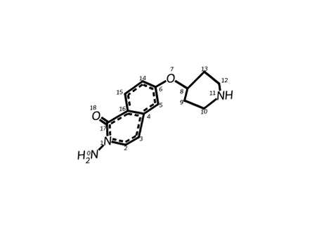 Nn1ccc2cc(OC3CCNCC3)ccc2c1=O